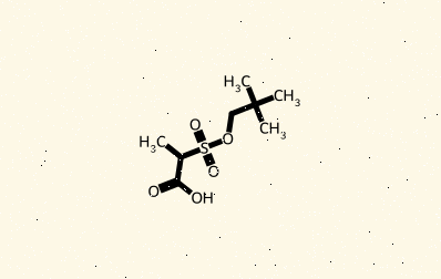 CC(C(=O)O)S(=O)(=O)OCC(C)(C)C